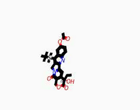 CC[C@@]1(O)C(=O)OCc2c1cc1n(c2=O)Cc2c-1nc1ccc(OC(C)=O)cc1c2[Si](C)(C)C(C)(C)C